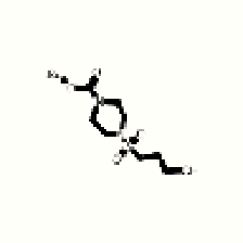 CC(C)(C)OC(=O)N1CCN(S(=O)(=O)CCCO)CC1